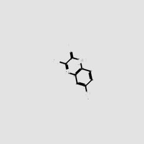 CC(=O)c1nc2cc(Cl)ccc2[nH]c1=O